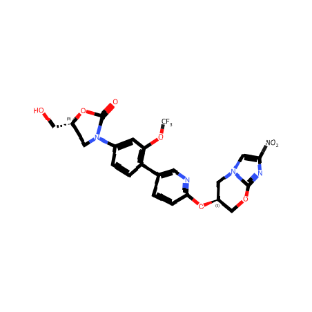 O=C1O[C@@H](CO)CN1c1ccc(-c2ccc(O[C@@H]3COc4nc([N+](=O)[O-])cn4C3)nc2)c(OC(F)(F)F)c1